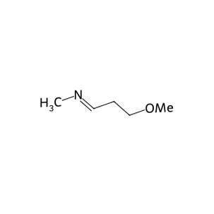 CN=CCCOC